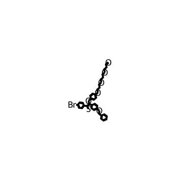 O=CCCOCCCOCCCOc1ccc(Oc2c(-c3ccc(Br)cc3)sc3cc(OCc4ccccc4)ccc23)cc1